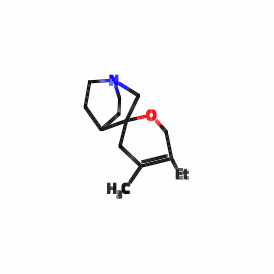 CCC1=C(C)CC2(CN3CCC2CC3)OC1